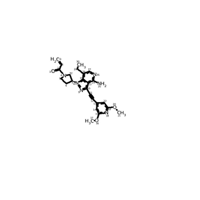 C=CC(=O)N1CC[C@H](n2nc(C#Cc3cc(OC)nc(OC)c3)c3c(N)ncc(CC)c32)C1